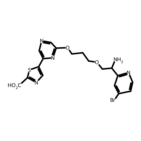 NC(COCCCOc1cncc(-c2cnc(C(=O)O)s2)n1)c1cc(Br)ccn1